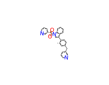 O=S(=O)(c1cccnc1)n1cc(-c2[c]cc(Cc3cccnc3)cc2)c2ccccc21